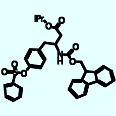 CC(C)OC(=O)CC(Cc1ccc(OS(=O)(=O)c2ccccc2)cc1)NC(=O)OCC1c2ccccc2-c2ccccc21